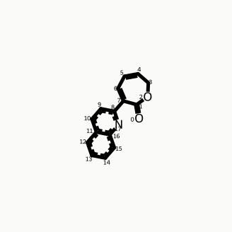 O=C1OCC=CC=C1c1ccc2ccccc2n1